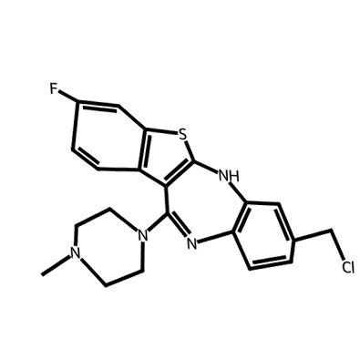 CN1CCN(C2=Nc3ccc(CCl)cc3Nc3sc4cc(F)ccc4c32)CC1